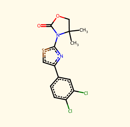 CC1(C)COC(=O)N1c1nc(-c2ccc(Cl)c(Cl)c2)cs1